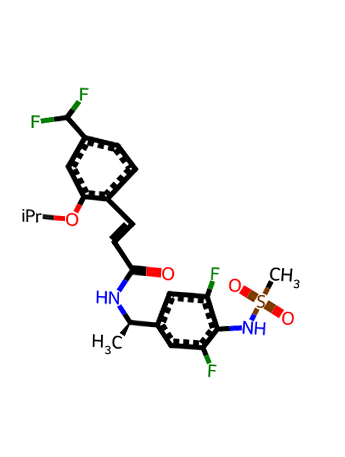 CC(C)Oc1cc(C(F)F)ccc1/C=C/C(=O)N[C@H](C)c1cc(F)c(NS(C)(=O)=O)c(F)c1